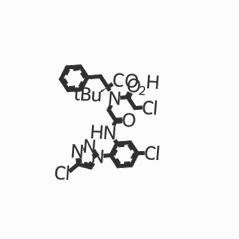 CC(C)(C)[C@](Cc1ccccc1)(C(=O)O)N(CC(=O)Nc1cc(Cl)ccc1-n1cc(Cl)nn1)C(=O)CCl